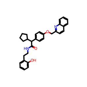 O=C(NCCc1ccccc1O)C(c1ccc(OCc2ccc3ccccc3n2)cc1)C1CCCC1